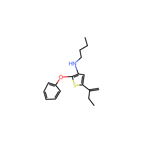 C=C(CC)c1cc(NCCCC)c(Oc2ccccc2)s1